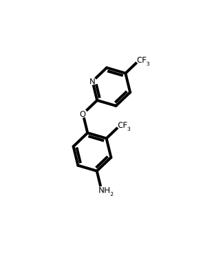 Nc1ccc(Oc2ccc(C(F)(F)F)cn2)c(C(F)(F)F)c1